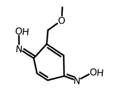 COCC1=CC(=N\O)/C=CC/1=N/O